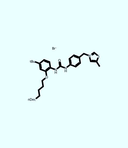 CCCCCCCCCCCCCCOc1cc(C(C)(C)C)ccc1NC(=O)Nc1ccc(C[n+]2csc(C)c2)cc1.[Br-]